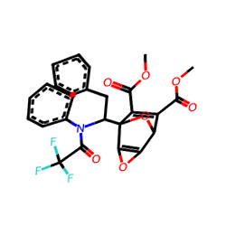 COC(=O)C1=C(C(=O)OC)C2(C(Cc3ccccc3)N(C(=O)C(F)(F)F)c3ccccc3)OC1C1=C2O1